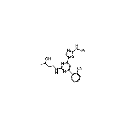 CC(O)CCNc1nc(-c2cnc(NC(C)C)s2)cc(-c2ccccc2C#N)n1